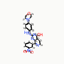 O=[N+]([O-])c1cccc(-c2nccc3c(O)nc(Nc4ccc(N5CCOCC5)cc4)nc23)c1